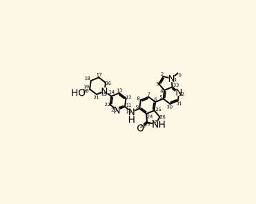 Cn1ccc2c(-c3ccc(Nc4ccc(N5CCC[C@@H](O)C5)cn4)c4c3CNC4=O)ccnc21